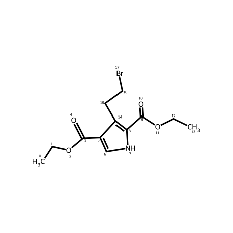 CCOC(=O)c1c[nH]c(C(=O)OCC)c1CCBr